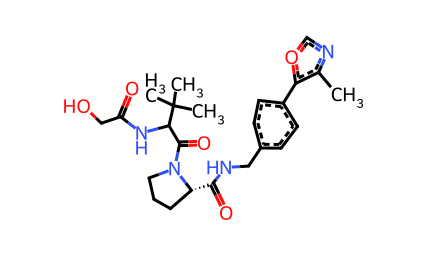 Cc1ncoc1-c1ccc(CNC(=O)[C@@H]2CCCN2C(=O)C(NC(=O)CO)C(C)(C)C)cc1